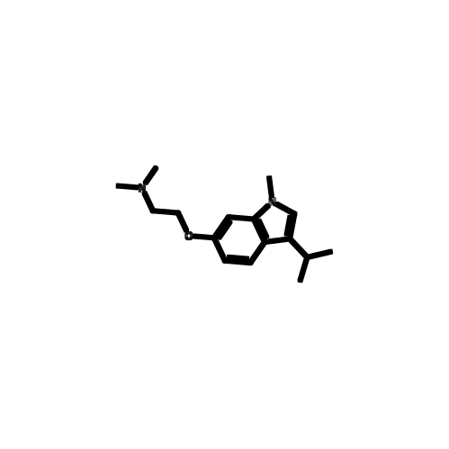 CC(C)c1cn(C)c2cc(OCCN(C)C)ccc12